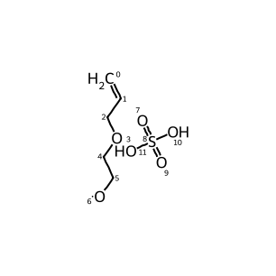 C=CCOCC[O].O=S(=O)(O)O